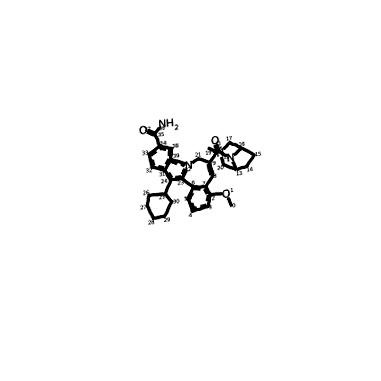 COc1cccc2c1C=C(C(=O)N1C3CCC1CN(C)C3)Cn1c-2c(C2CCCCC2)c2ccc(C(N)=O)cc21